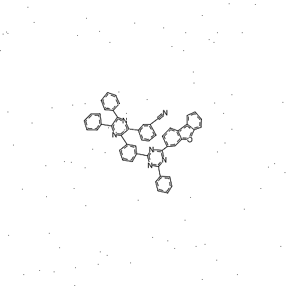 N#Cc1cccc(-c2nc(-c3ccccc3)c(-c3ccccc3)nc2-c2cccc(-c3nc(-c4ccccc4)nc(-c4ccc5c(c4)oc4ccccc45)n3)c2)c1